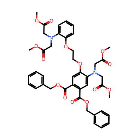 COC(=O)CN(CC(=O)OC)c1ccccc1OCCOc1cc(C(=O)OCc2ccccc2)c(C(=O)OCc2ccccc2)cc1N(CC(=O)OC)CC(=O)OC